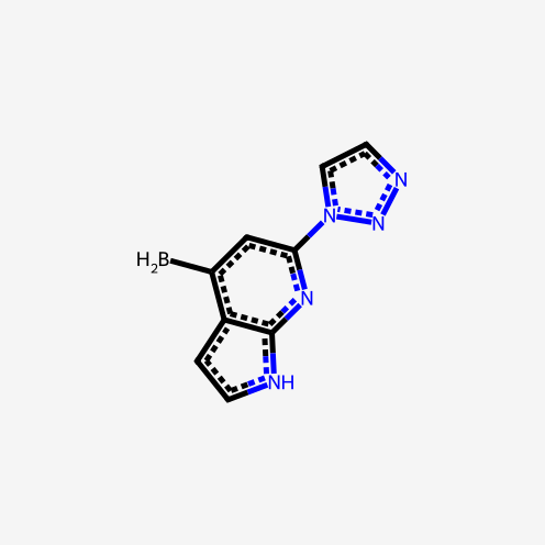 Bc1cc(-n2ccnn2)nc2[nH]ccc12